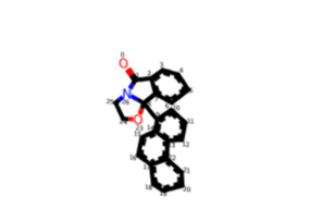 O=C1c2ccccc2C2(c3cccc4c3ccc3ccccc34)OCCN12